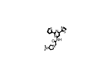 CN(C)[C@H]1CCN(CC(=O)Nc2cc(-c3nccs3)nc(-c3cccs3)n2)C1